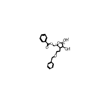 O=C(OC[C@H]1O[C@@H](O)C(O)C1CCOCc1ccccc1)c1ccccc1